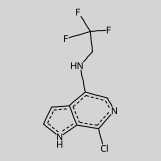 FC(F)(F)CNc1cnc(Cl)c2[nH]ccc12